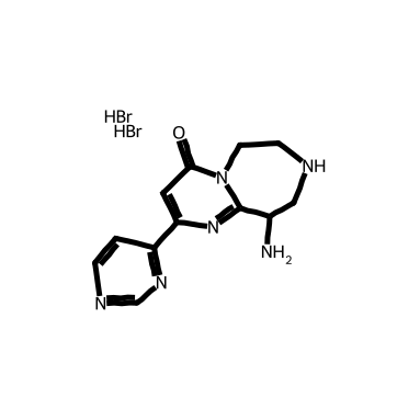 Br.Br.NC1CNCCn2c1nc(-c1ccncn1)cc2=O